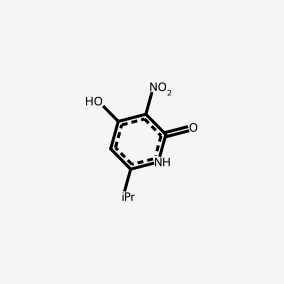 CC(C)c1cc(O)c([N+](=O)[O-])c(=O)[nH]1